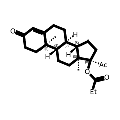 CCC(=O)O[C@]1(C(C)=O)CC[C@H]2[C@@H]3CCC4=CC(=O)CC[C@]4(C)[C@H]3CC[C@@]21C